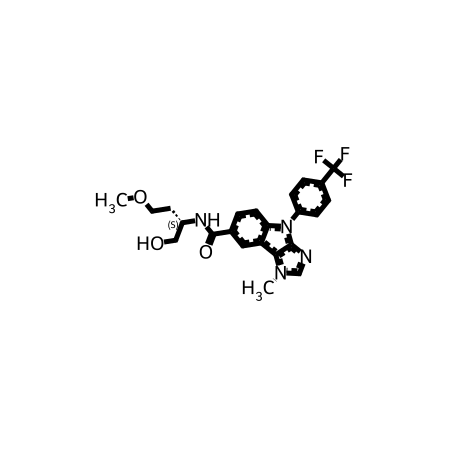 COCC[C@@H](CO)NC(=O)c1ccc2c(c1)c1c(ncn1C)n2-c1ccc(C(F)(F)F)cc1